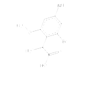 COc1cc(N)cc(Br)c1C(C)C(=O)O